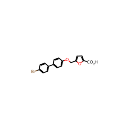 O=C(O)c1ccc(COc2ccc(-c3ccc(Br)cc3)cc2)o1